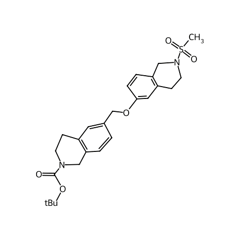 CC(C)(C)OC(=O)N1CCc2cc(COc3ccc4c(c3)CCN(S(C)(=O)=O)C4)ccc2C1